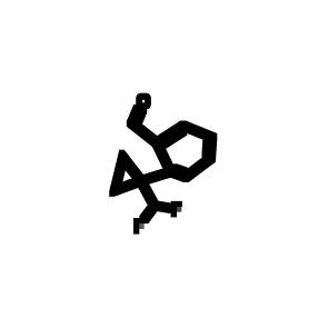 O=Cc1ccccc1C1(C(F)F)CC1